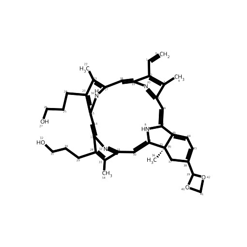 C=CC1=C(C)c2cc3[nH]c(cc4nc(cc5[nH]c(cc1n2)c(C)c5CCCO)C(CCCO)=C4C)[C@]1(C)CC(C2OCO2)=CC=C31